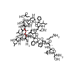 CC[C@H](C)[C@H](NC(=O)[C@H](CO)NC(=O)[C@@H](NC(=O)[C@@H]1CCCN1C(=O)[C@@H]1CCCN1C(=O)[C@H](CCCCN)NC(=O)[C@H](C)NC(=O)[C@H](CC(C)C)NC(=O)[C@@H](N)CO)C(C)C)C(=O)N1CCC[C@H]1C(=O)N[C@@H](CCC(=O)O)C(=O)N[C@@H](CC(=O)O)C(=O)N[C@@H](CCCNC(=N)N)C(=O)N[C@@H](CC(C)C)C(=O)N[C@@H](C)C(=O)NCC(=O)N[C@@H](CC(C)C)C(=O)O